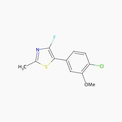 COc1cc(-c2sc(C)nc2F)ccc1Cl